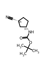 CC(C)(C)OC(=O)N[C@H]1CC[C@@H](C#N)C1